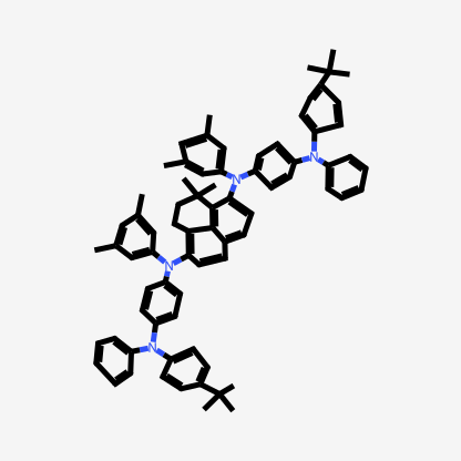 Cc1cc(C)cc(N(c2ccc(N(c3ccccc3)c3ccc(C(C)(C)C)cc3)cc2)c2ccc3ccc(N(c4ccc(N(c5ccccc5)c5ccc(C(C)(C)C)cc5)cc4)c4cc(C)cc(C)c4)c4c3c2CCC4(C)C)c1